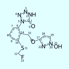 O=c1[nH]nnn1-c1cccc(SCF)c1COc1ccn(O)n1